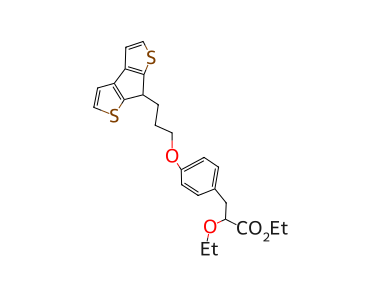 CCOC(=O)C(Cc1ccc(OCCCC2c3sccc3-c3ccsc32)cc1)OCC